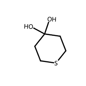 OC1(O)CCSCC1